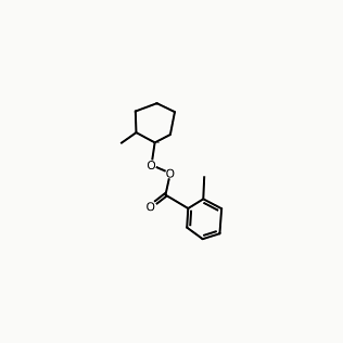 Cc1ccccc1C(=O)OO[C]1CCCCC1C